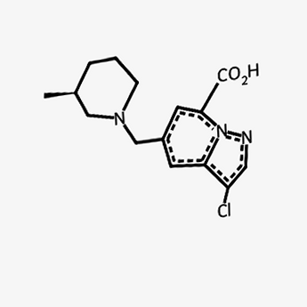 C[C@H]1CCCN(Cc2cc(C(=O)O)n3ncc(Cl)c3c2)C1